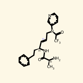 C[C@H](N)C(=O)N[C@H](/C=C/CN(C(=O)C(F)(F)F)c1cccnc1)CCc1ccccc1